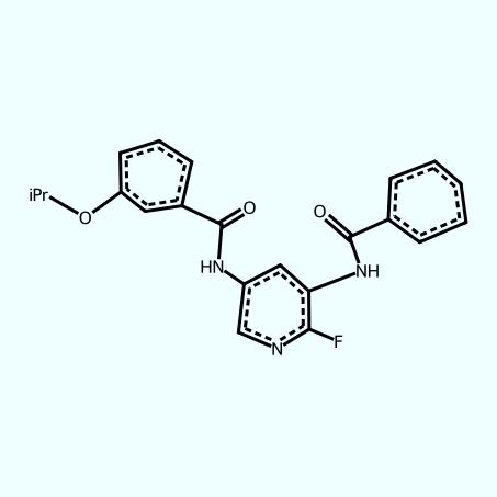 CC(C)Oc1cccc(C(=O)Nc2cnc(F)c(NC(=O)c3ccccc3)c2)c1